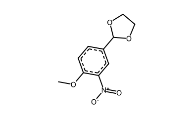 COc1ccc(C2OCCO2)cc1[N+](=O)[O-]